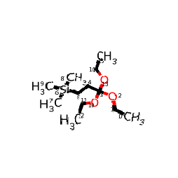 CCOC(CC[Si](C)(C)C)(OCC)OCC